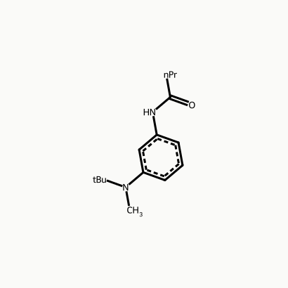 CCCC(=O)Nc1cccc(N(C)C(C)(C)C)c1